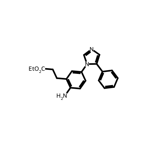 CCOC(=O)CCc1cc(-n2cncc2-c2ccccc2)ccc1N